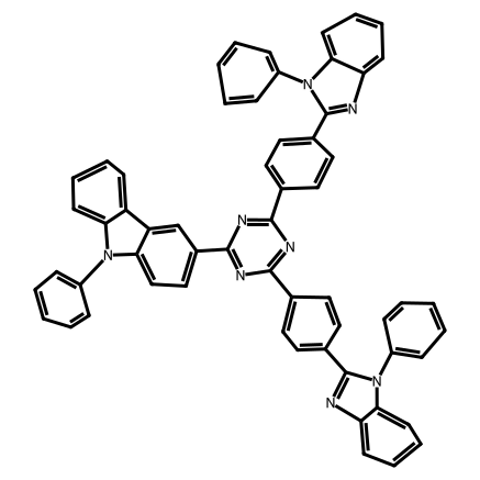 c1ccc(-n2c(-c3ccc(-c4nc(-c5ccc(-c6nc7ccccc7n6-c6ccccc6)cc5)nc(-c5ccc6c(c5)c5ccccc5n6-c5ccccc5)n4)cc3)nc3ccccc32)cc1